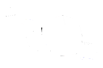 O=C1COc2nnccc2C2CCC(CC2)OC[C@H]2[C@@H](NS(=O)(=O)C3CC3)CCCN12